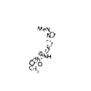 CNc1cccc([C@H]2CC[C@@H](N3CC(NC(=O)CNC(=O)c4cccc(C)c4)C3)CC2)n1